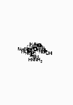 CN[C@@H]1[C@@H](O)[C@@H](O[C@H]2[C@H](NC(=O)C3(O)CC3NC(=N)N)C[C@H](N)C([C@H]3OC(CNCC(O)CO)=CC[C@H]3N)[C@@H]2O)OC[C@]1(C)O